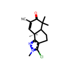 Cn1nc2c(c1Cl)CCC1C(C)(C)C(=O)C(C#N)=C[C@]21C